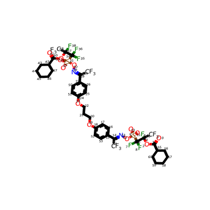 O=C(OC(F)(C(F)(F)F)C(F)(F)S(=O)(=O)ON=C(c1ccc(OCCCOc2ccc(C(=NOS(=O)(=O)C(F)(F)C(F)(OC(=O)C3CCCCC3)C(F)(F)F)C(F)(F)F)cc2)cc1)C(F)(F)F)C1CCCCC1